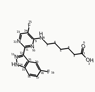 O=C(O)CCCCCNc1nc(-c2n[nH]c3ccc(F)cc23)ncc1F